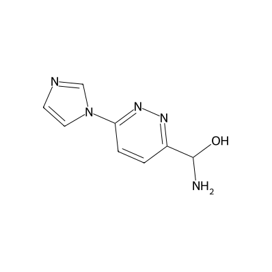 NC(O)c1ccc(-n2ccnc2)nn1